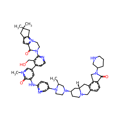 C[C@H]1CN([C@@H]2CCN3Cc4ccc5c(c4C[C@H]3C2)CN(C2CCCNC2)C5=O)CCN1c1ccc(Nc2cc(-c3ccnc(N4CCn5c(cc6c5CC(C)(C)C6)C4=O)c3CO)cn(C)c2=O)nc1